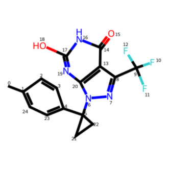 Cc1ccc(C2(n3nc(C(F)(F)F)c4c(=O)[nH]c(O)nc43)CC2)cc1